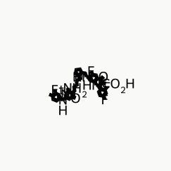 CCc1cc(Nc2cc(=O)n(CCCCCN3CCCC3CNc3cc4[nH]c(-c5ccc(F)cc5F)c(C(=O)O)c(=O)c4cc3F)c(N)n2)ccc1C